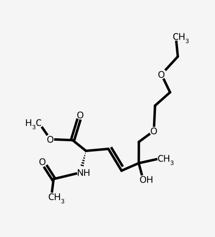 CCOCCOCC(C)(O)/C=C/[C@H](NC(C)=O)C(=O)OC